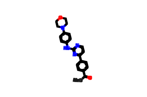 COC(=O)c1ccc(-c2ccnc(Nc3ccc(N4CCOCC4)cc3)n2)cc1